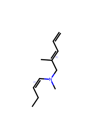 C=C/C=C(\C)CN(C)/C=C\CC